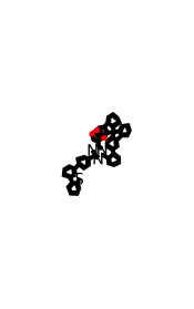 c1ccc(-c2nc(-c3ccc(-c4cccc5c4sc4ccccc45)cc3)nc(-c3ccccc3-c3ccc4c(c3)-c3ccccc3C43c4ccccc4-c4ccccc43)n2)cc1